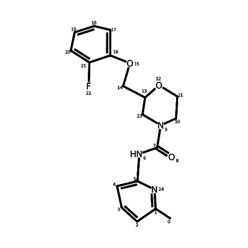 Cc1cccc(NC(=O)N2CCOC(COc3ccccc3F)C2)n1